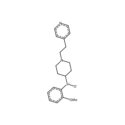 COc1ccccc1[S+]([O-])C1CCN(CCc2ccncc2)CC1